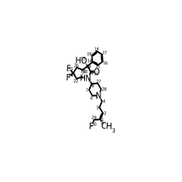 CC(=CCCN1CCC(NC(=O)[C@](O)(c2ccccc2)[C@@H]2CCC(F)(F)C2)CC1)CF